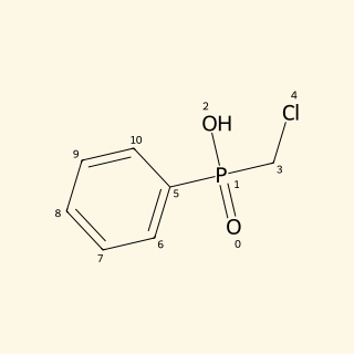 O=P(O)(CCl)c1ccccc1